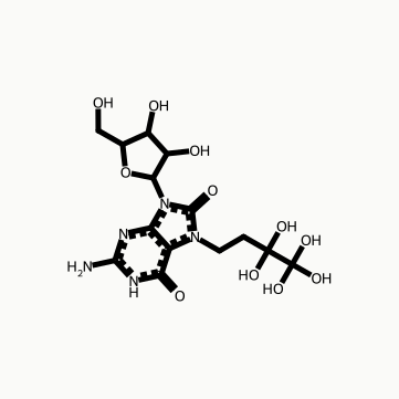 Nc1nc2c(c(=O)[nH]1)n(CCC(O)(O)C(O)(O)O)c(=O)n2C1OC(CO)C(O)C1O